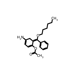 CCCCCCOC(=C1CC(N)=CC=C1OC(C)=O)c1ccccc1